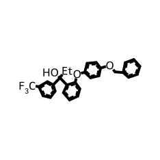 CCC(O)(c1cccc(C(F)(F)F)c1)c1ccccc1Oc1ccc(OCc2ccccc2)cc1